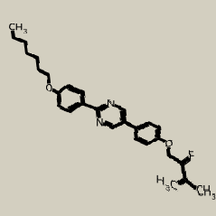 CCCCCCCOc1ccc(-c2ncc(-c3ccc(OCC(F)C(C)C)cc3)cn2)cc1